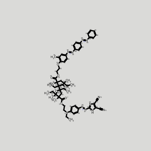 CCN(CCOC(=O)C(C)(CC(C)(CC)C(CC)(CC)C(C)(CC(C)(C)CC)C(=O)OCCOc1ccc(/N=N/c2ccc(/N=N/c3ccccc3)cc2)cc1C)C(C)(C)CC)c1ccc(/N=N/c2nc(C#N)c(C#N)[nH]2)cc1